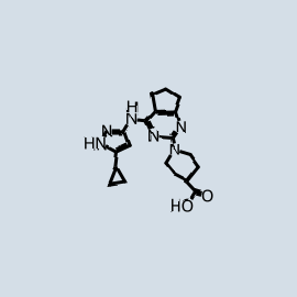 O=C(O)C1CCN(c2nc3c(c(Nc4cc(C5CC5)[nH]n4)n2)CCC3)CC1